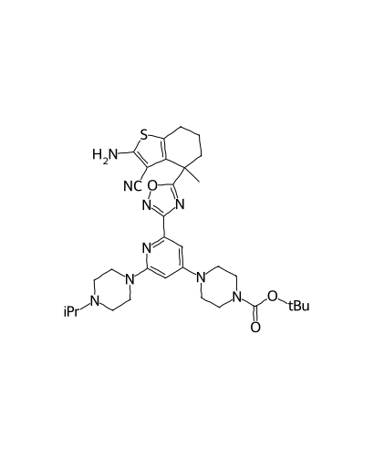 CC(C)N1CCN(c2cc(N3CCN(C(=O)OC(C)(C)C)CC3)cc(-c3noc(C4(C)CCCc5sc(N)c(C#N)c54)n3)n2)CC1